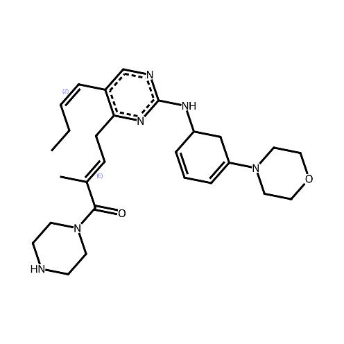 CC/C=C\c1cnc(NC2C=CC=C(N3CCOCC3)C2)nc1C/C=C(\C)C(=O)N1CCNCC1